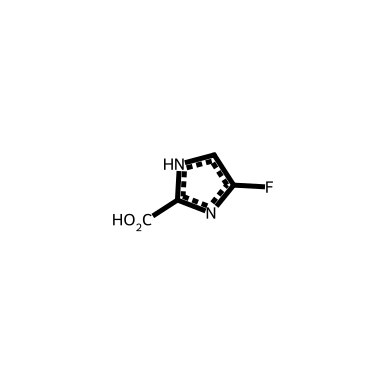 O=C(O)c1nc(F)c[nH]1